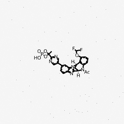 CC(=O)N1c2cccc(OC(F)F)c2[C@H]2C[C@@H]1c1nc3ccc(-c4cnc(C5(C)OP(=O)(O)O5)nc4)cc3n12